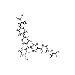 C=C(C)C(=O)Oc1ccc(-c2ccc(N(c3ccc(-c4ccc(OC(=O)C(=C)C)cc4)cc3)c3cccc(C)c3)cc2)cc1